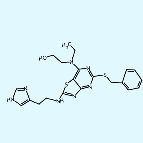 CCN(CCO)c1nc(SCc2ccccc2)nc2nc(NCCc3c[nH]cn3)sc12